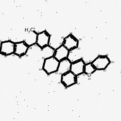 CC1C=CC(c2c3c(c(-c4cc5c6c(oc5c5ccccc45)CCC=C6)c4ccccc24)CCCC3)=CC1c1ccc2c(c1)CCC=C2